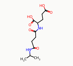 CC(C)NC(=O)CCC(=O)NC(CCC(=O)O)C(=O)O